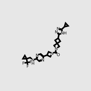 O=C(N1CC(c2cnc(NCC3(C(F)(F)F)CC3)cn2)C1)N1CC2(CC(c3nnc(C4CC4)[nH]3)C2)C1